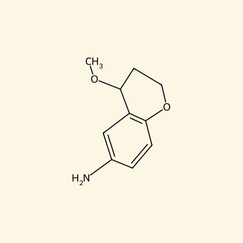 COC1CCOc2ccc(N)cc21